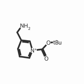 CC(C)(C)OC(=O)[n+]1cccc(CN)c1